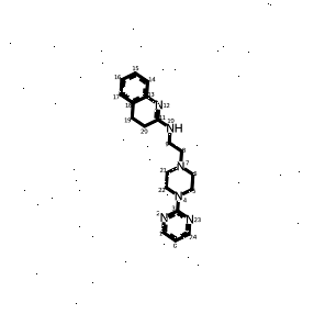 c1cnc(N2CCN(CCNC3=Nc4ccccc4CC3)CC2)nc1